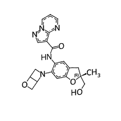 C[C@]1(CO)Cc2cc(NC(=O)c3cnn4cccnc34)c(N3CC4OCC43)cc2O1